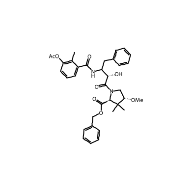 CO[C@H]1CN(C(=O)[C@@H](O)C(Cc2ccccc2)NC(=O)c2cccc(OC(C)=O)c2C)[C@H](C(=O)OCc2ccccc2)C1(C)C